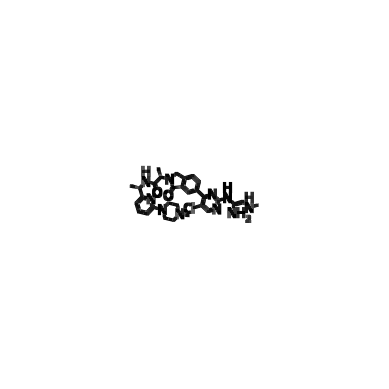 CN/C=C(\N)Nc1ncc(Cl)c(-c2ccc3c(c2)C(=O)N([C@H](C)C(=O)N[C@H](C)c2cccc(N4CCN(C)CC4)n2)C3)n1